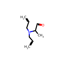 C=CCN(CC=C)C(C)C=O